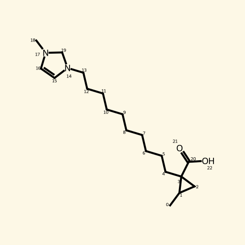 CC1CC1(CCCCCCCCCCN1C=CN(C)C1)C(=O)O